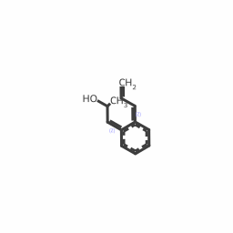 C=C/C=c1/cccc/c1=C/C(C)O